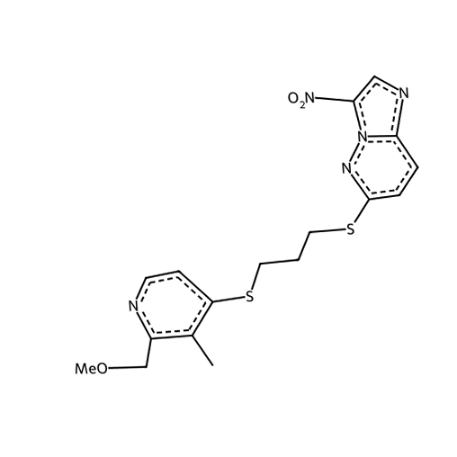 COCc1nccc(SCCCSc2ccc3ncc([N+](=O)[O-])n3n2)c1C